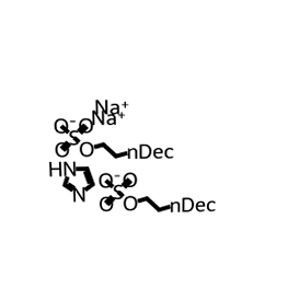 CCCCCCCCCCCCOS(=O)(=O)[O-].CCCCCCCCCCCCOS(=O)(=O)[O-].[Na+].[Na+].c1c[nH]cn1